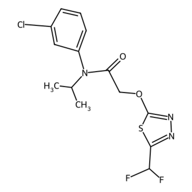 CC(C)N(C(=O)COc1nnc(C(F)F)s1)c1cccc(Cl)c1